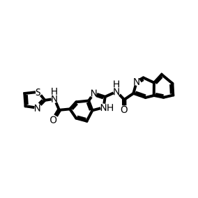 O=C(Nc1nccs1)c1ccc2[nH]c(NC(=O)c3cc4ccccc4cn3)nc2c1